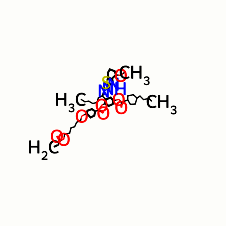 C=CC(=O)OCCCCCCOc1ccc(C(=O)Oc2ccc(OC(=O)C3CCC(CCCC)CC3)cc2C(CCCCCC)=NNc2nc3c(OC)cccc3s2)cc1